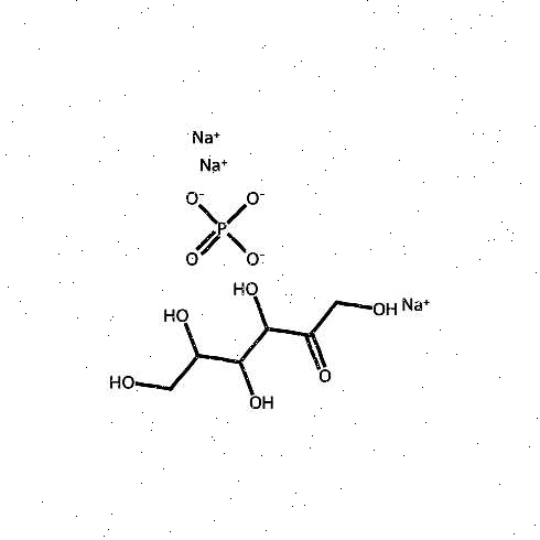 O=C(CO)C(O)C(O)C(O)CO.O=P([O-])([O-])[O-].[Na+].[Na+].[Na+]